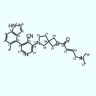 Cc1ccc2[nH]ncc2c1-c1cncc(N2CCC3(CN(C(=O)/C=C/CN(C)C)C3)C2)c1C#N